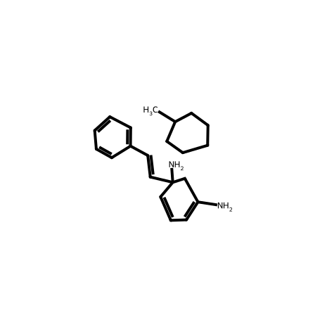 CC1CCCCC1.NC1=CC=CC(N)(C=Cc2ccccc2)C1